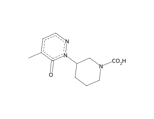 Cc1ccnn(C2CCCN(C(=O)O)C2)c1=O